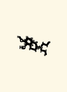 CCCN(CCC)[C@H]1CCc2c(ccc(OC)c2O)C1